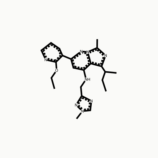 CCOc1ncccc1-c1cc(NCc2ncn(C)n2)c2c(C(C)CC)nc(C)n2n1